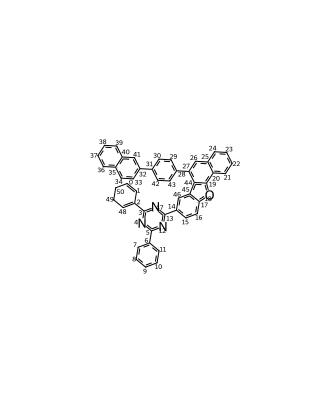 C1=CC(c2nc(-c3ccccc3)nc(-c3ccc4oc5c6ccccc6cc(-c6ccc(-c7ccc8ccccc8c7)cc6)c5c4c3)n2)=CCC1